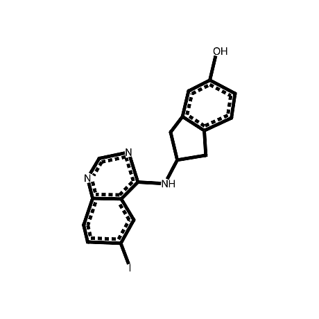 Oc1ccc2c(c1)CC(Nc1ncnc3ccc(I)cc13)C2